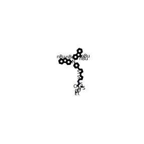 CCCCC1(CCCC)c2ccccc2-c2ccc(N(c3ccc(-c4ccc(-c5ccc(/C=C6\SC(=S)N(OOCC)C6=O)s5)s4)cc3)c3ccc4c(c3)C(CCCC)(CCCC)c3ccccc3-4)cc21